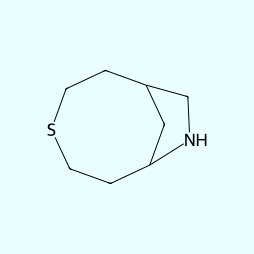 C1CC2CNC(CCS1)C2